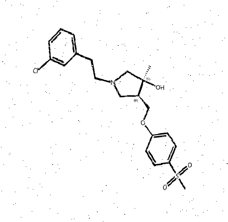 C[C@@]1(O)CN(CCc2cccc(Cl)c2)C[C@@H]1COc1ccc(S(C)(=O)=O)cc1